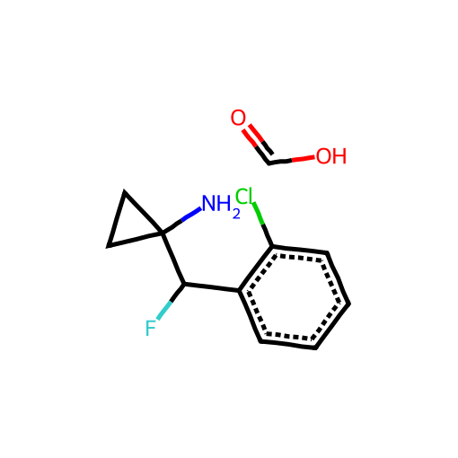 NC1(C(F)c2ccccc2Cl)CC1.O=CO